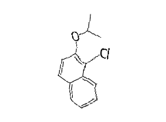 CC(C)Oc1ccc2ccccc2c1Cl